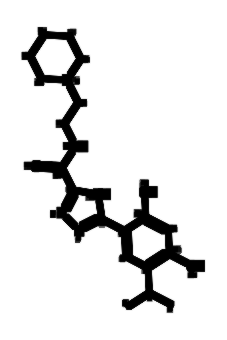 CC(C)c1cc(-c2nnc(C(=O)NCCN3CCCCC3)[nH]2)c(O)cc1O